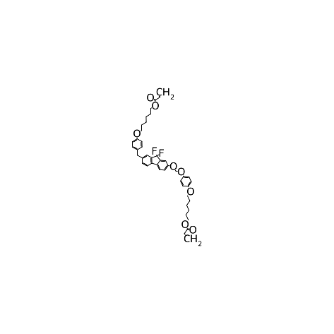 C=CC(=O)OCCCCCCOc1ccc(Cc2ccc3c(c2)C(F)(F)c2cc(OCOc4ccc(OCCCCCCOC(=O)C=C)cc4)ccc2-3)cc1